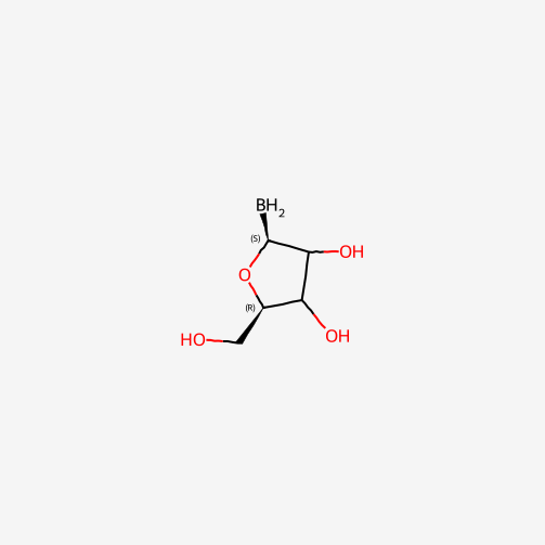 B[C@@H]1O[C@H](CO)C(O)C1O